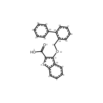 O=C(O)c1sc2ccccc2c1OCc1ccccc1-c1ccccc1